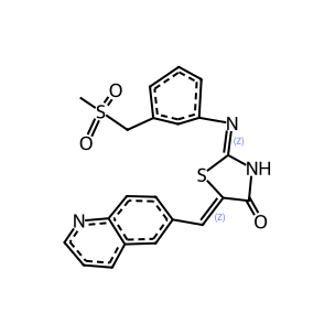 CS(=O)(=O)Cc1cccc(/N=C2/NC(=O)/C(=C/c3ccc4ncccc4c3)S2)c1